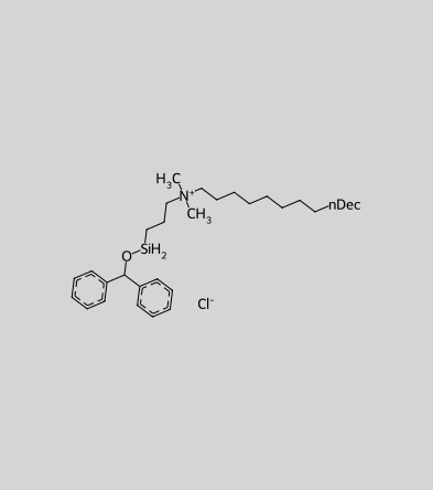 CCCCCCCCCCCCCCCCCC[N+](C)(C)CCC[SiH2]OC(c1ccccc1)c1ccccc1.[Cl-]